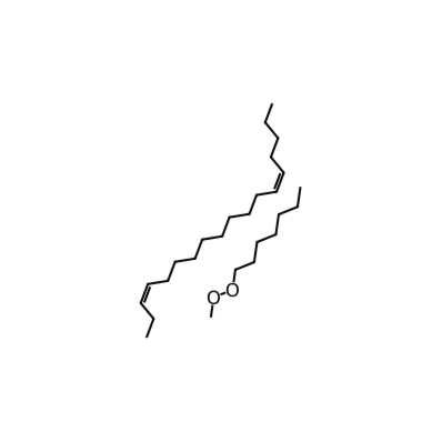 CC/C=C\CCCCCCCC/C=C\CCCC.CCCCCCCOOC